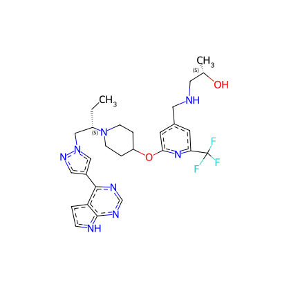 CC[C@@H](Cn1cc(-c2ncnc3[nH]ccc23)cn1)N1CCC(Oc2cc(CNC[C@H](C)O)cc(C(F)(F)F)n2)CC1